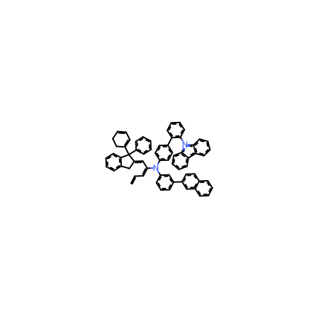 C=C/C=C(\C=C1/Cc2ccccc2C1(C1=CC=CCC1)c1ccccc1)N(c1ccc(-c2ccccc2-n2c3ccccc3c3ccccc32)cc1)c1cccc(-c2ccc3ccccc3c2)c1